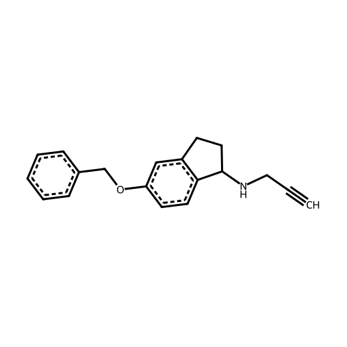 C#CCNC1CCc2cc(OCc3ccccc3)ccc21